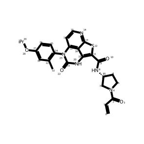 C=CC(=O)N1CC[C@@H](NC(=O)c2sc3nccc4c3c2NC(=O)N4c2ccc(OC(C)C)cc2C)C1